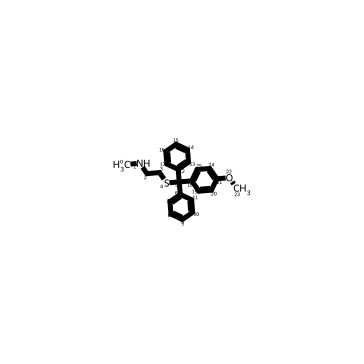 CNCCSC(c1ccccc1)(c1ccccc1)c1ccc(OC)cc1